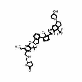 COc1nc(O[C@H]2CCc3c(-c4cccc(-c5nc6cc7c(c(C(F)(F)F)c6o5)CC[C@H]7N5CC[C@@H](O)C5)c4Cl)cccc32)c(C(F)(F)F)nc1CNC[C@H]1CCC(=O)N1